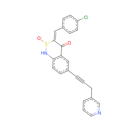 O=C1/C(=C\c2ccc(Cl)cc2)[S+]([O-])Nc2ccc(C#CCc3cccnc3)cc21